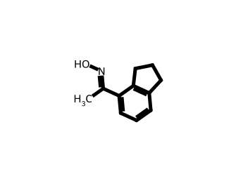 CC(=NO)c1cccc2c1CCC2